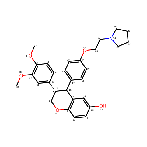 COc1ccc([C@H]2COc3ccc(O)cc3C2c2ccc(OCCN3CCCC3)cc2)cc1OC